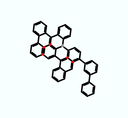 c1ccc(-c2cccc(-c3ccc(N(c4ccccc4-c4cccc5ccccc45)c4ccccc4-c4cc5ccccc5c5ccccc45)cc3)c2)cc1